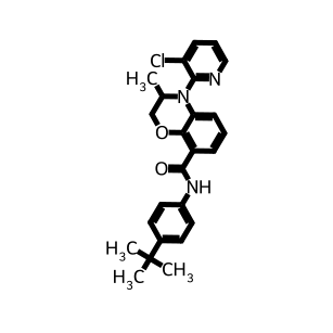 CC1COc2c(C(=O)Nc3ccc(C(C)(C)C)cc3)cccc2N1c1ncccc1Cl